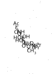 CCCN(CCC)C(=O)c1cc(C)cc(C(=O)NOC[C@H](O)[C@H](O)C(O)CONC(=O)CCCCC(C)=O)c1